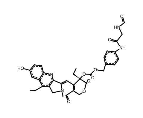 CCc1c2c(nc3ccc(O)cc13)/C(=C/C1=C(C=O)COC(=O)[C@@]1(CC)OC(=O)OCc1ccc(NC(=O)CNC=O)cc1)N(C)C2